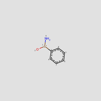 N[S+]([O-])c1cc[c]cc1